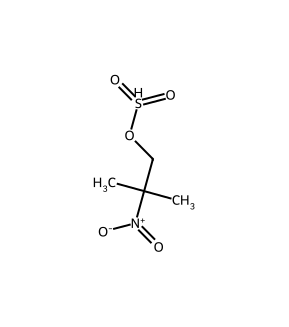 CC(C)(CO[SH](=O)=O)[N+](=O)[O-]